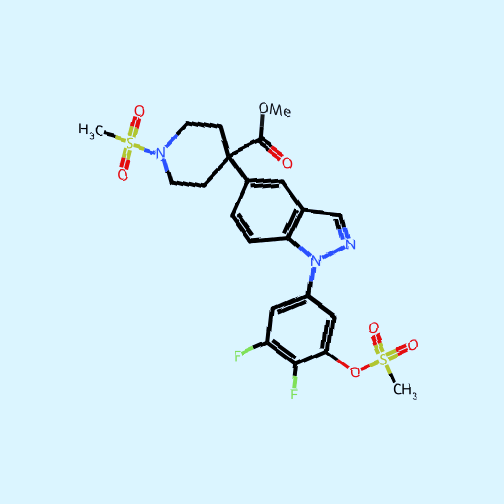 COC(=O)C1(c2ccc3c(cnn3-c3cc(F)c(F)c(OS(C)(=O)=O)c3)c2)CCN(S(C)(=O)=O)CC1